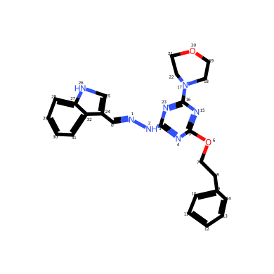 C(=NNc1nc(OCCc2ccccc2)nc(N2CCOCC2)n1)c1c[nH]c2ccccc12